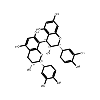 OC1=CCC([C@H]2Oc3cc(O)cc(O)c3[C@H](c3c(O)cc(O)c4c3O[C@H](C3C=C(O)C(O)=CC3)[C@H](O)C4)[C@H]2O)C=C1O